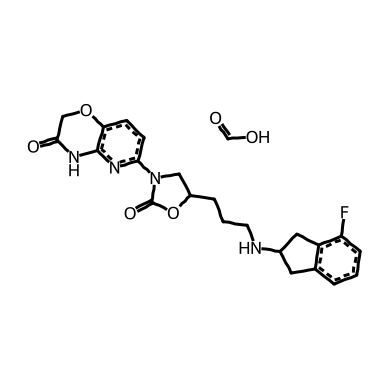 O=C1COc2ccc(N3CC(CCCNC4Cc5cccc(F)c5C4)OC3=O)nc2N1.O=CO